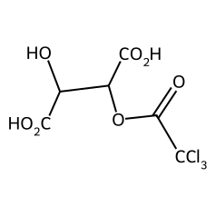 O=C(O)C(O)C(OC(=O)C(Cl)(Cl)Cl)C(=O)O